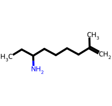 C=C(C)CCCCC(N)CC